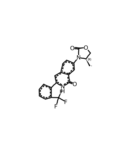 [CH2][C@@H]1COC(=O)N1c1ccc2cc(-c3ccccc3C(F)(F)F)[nH]c(=O)c2c1